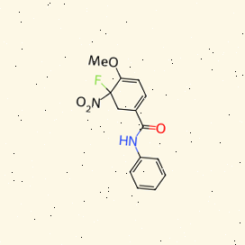 COC1=CC=C(C(=O)Nc2ccccc2)CC1(F)[N+](=O)[O-]